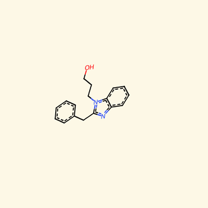 OCCCn1c(Cc2ccccc2)nc2ccccc21